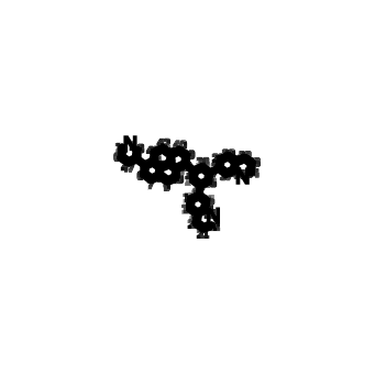 c1cncc(-c2ccc3ccc4c(-c5cc(-c6ccc7cccnc7c6)cc(-c6ccc7cccnc7c6)c5)ccc5ccc2c3c54)c1